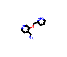 NCc1ccncc1OCc1cccnn1